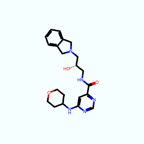 O=C(NC[C@H](O)CN1Cc2ccccc2C1)c1cc(NC2CCOCC2)ncn1